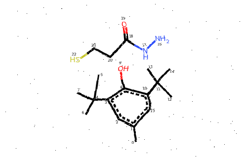 Cc1cc(C(C)(C)C)c(O)c(C(C)(C)C)c1.NNC(=O)CCS